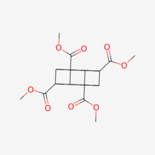 COC(=O)C12C3C4(C(=O)OC)C1C1(C(=O)OC)C2C3(C(=O)OC)C41